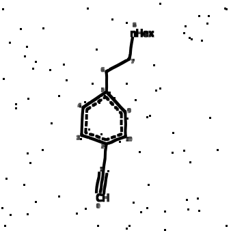 C#Cc1ccc(CCCCCCCC)cc1